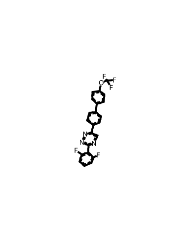 Fc1cccc(F)c1-c1ncc(-c2ccc(-c3ccc(OC(F)(F)F)cc3)cc2)nn1